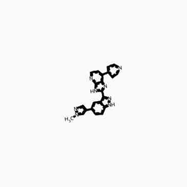 Cn1cc(-c2ccc3[nH]nc(-c4nc5c(-c6ccncc6)ccnc5[nH]4)c3c2)cn1